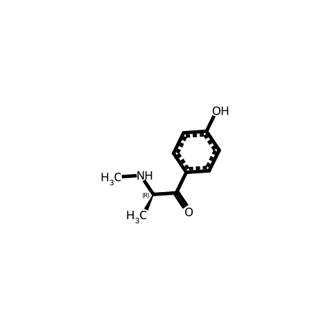 CN[C@H](C)C(=O)c1ccc(O)cc1